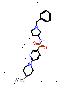 COC1CCN(c2ccc(S(=O)(=O)NC3CCN(Cc4ccccc4)C3)cn2)CC1